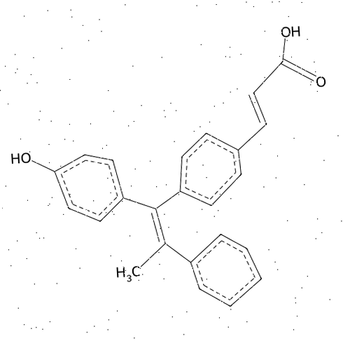 C/C(=C(\c1ccc(O)cc1)c1ccc(/C=C/C(=O)O)cc1)c1ccccc1